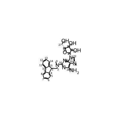 CN(CC1c2ccccc2-c2ccccc21)c1nc(N)c2ncn([C@@H]3O[C@H](CO)[C@@H](O)[C@H]3O)c2n1